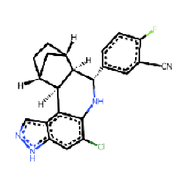 N#Cc1cc([C@@H]2Nc3c(Cl)cc4[nH]ncc4c3[C@H]3[C@@H]4CC[C@@H](C4)[C@H]32)ccc1F